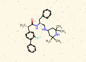 C[C@H](C(=O)N[C@H](CNC1CC(C)(C)NC(C)(C)C1)Cc1ccccc1)c1ccc(-c2ccccc2)c(F)c1